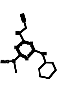 C#CCNc1nc(NC2CCCCC2)nc(N(C)OC)n1